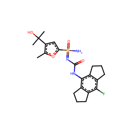 Cc1oc(S(N)(=O)=NC(=O)Nc2c3c(c(F)c4c2CCC4)CCC3)cc1C(C)(C)O